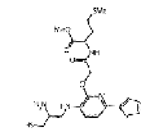 COC(=O)C(CCSC)NC(=O)COc1nc(-c2cccs2)ccc1NCC(N)CS